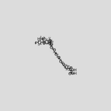 CNC(=O)c1c(-c2ccc(F)cc2)oc2cc(N(CCOCCOCCOCCOCCOCCOCc3ccc(C(=O)C=C(O)C(=O)O)cc3)S(C)(=O)=O)c(C3CC3)cc12